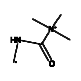 [CH2]NC(=O)[N+](C)(C)C